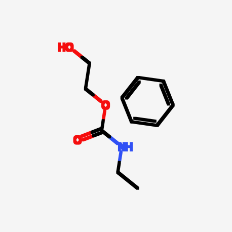 CCNC(=O)OCCO.c1ccccc1